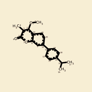 COc1c(C)c(=O)oc2cc(-c3ccc(C(C)C)cc3)ccc12